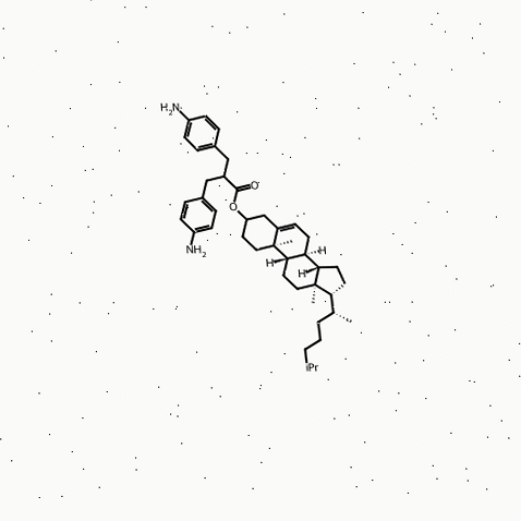 CC(C)CCC[C@@H](C)[C@H]1CC[C@H]2[C@@H]3CC=C4CC(OC(=O)C(Cc5ccc(N)cc5)Cc5ccc(N)cc5)CC[C@]4(C)[C@H]3CC[C@]12C